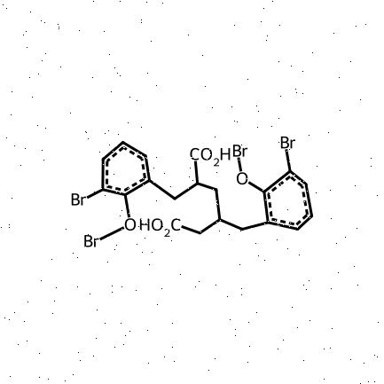 O=C(O)CC(Cc1cccc(Br)c1OBr)CC(Cc1cccc(Br)c1OBr)C(=O)O